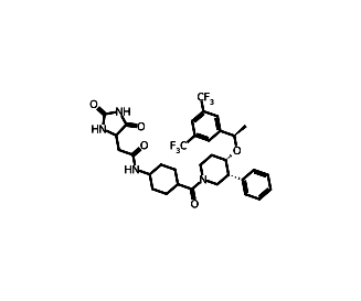 C[C@@H](O[C@H]1CCN(C(=O)C2CCC(NC(=O)CC3NC(=O)NC3=O)CC2)C[C@H]1c1ccccc1)c1cc(C(F)(F)F)cc(C(F)(F)F)c1